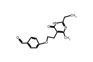 CCc1nc(C)c(CCOc2ccc(C=O)cc2)c(=O)[nH]1